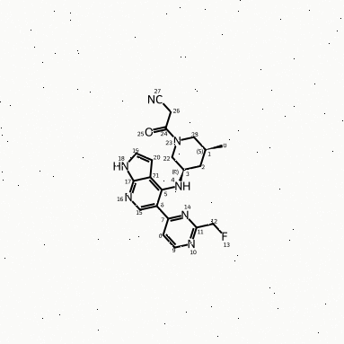 C[C@H]1C[C@@H](Nc2c(-c3ccnc(CF)n3)cnc3[nH]ccc23)CN(C(=O)CC#N)C1